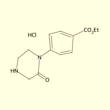 CCOC(=O)c1ccc(N2CCNCC2=O)cc1.Cl